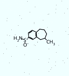 CC1CCCc2ccc([S+](N)[O-])cc2C1